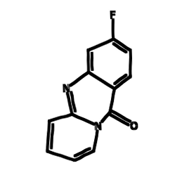 O=c1c2ccc(F)cc2nc2ccccn12